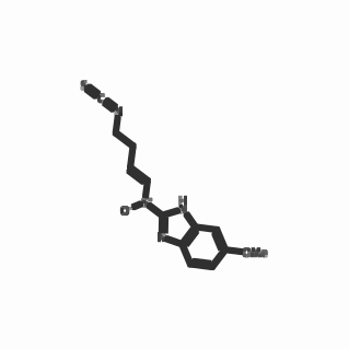 COc1ccc2nc([S+]([O-])C=CCCN=C=S)[nH]c2c1